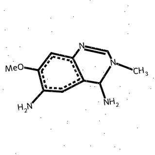 COc1cc2c(cc1N)C(N)N(C)C=N2